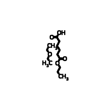 CCCOC(=O)CCCCC(=O)O.CCOCC